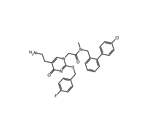 CN(Cc1ccccc1-c1ccc(Cl)cc1)C(=O)Cn1cc(CCN)c(=O)nc1SCc1ccc(F)cc1